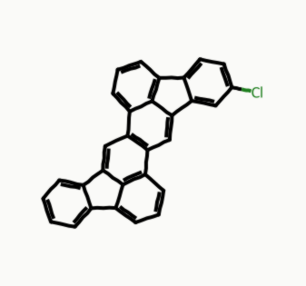 Clc1ccc2c(c1)c1cc3c(cc4c5ccccc5c5cccc3c54)c3cccc2c31